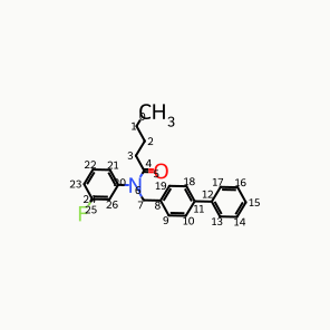 CCCCC(=O)N(Cc1ccc(-c2ccccc2)cc1)c1cccc(F)c1